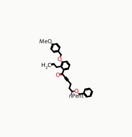 C=CCc1c(OCc2ccc(OC)cc2)cccc1C(=O)C#CCC[C@H](CCCCC)OCc1ccccc1